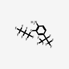 Nc1ccc(C(F)(C(F)(F)F)C(F)(F)F)cc1SC(F)(F)C(F)(F)C(F)(F)F